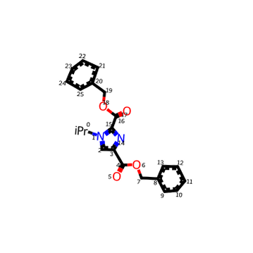 CC(C)n1cc(C(=O)OCc2ccccc2)nc1C(=O)OCc1ccccc1